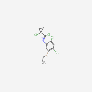 FC(F)(F)CSc1cc(/N=C(\Cl)C2(Cl)CC2)c(Cl)cc1Cl